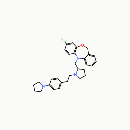 Fc1ccc2c(c1)OCc1ccccc1N2CC1CCCN1CCc1ccc(N2CCCC2)cc1